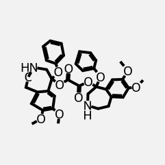 COc1cc2c(cc1OC)C(OC(=O)C(=O)OC1(Oc3ccccc3)CNCCc3cc(OC)c(OC)cc31)(Oc1ccccc1)CNCC2